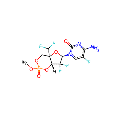 CC(C)OP1(=O)OC[C@@]2(C(F)F)O[C@@H](n3cc(F)c(N)nc3=O)C(F)(F)[C@@H]2O1